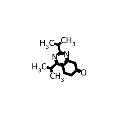 CC(C)c1nc2c(c(C(C)C)n1)CCC(=O)C2